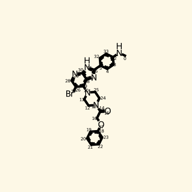 CNc1ccc(-c2nc3c(N4CCN(C(=O)COc5ccccc5)CC4)c(Br)cnc3[nH]2)cc1